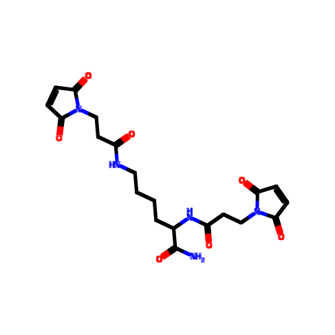 NC(=O)C(CCCCNC(=O)CCN1C(=O)C=CC1=O)NC(=O)CCN1C(=O)C=CC1=O